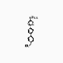 CCCCCCc1cnc(-c2ccc(-c3ccc(CC(C)CC)cc3)cc2)nc1